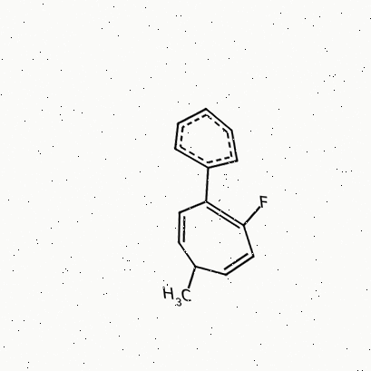 CC1C=CC(F)=C(c2ccccc2)C=C1